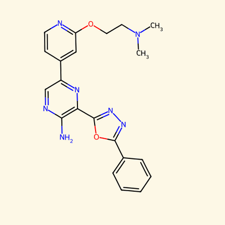 CN(C)CCOc1cc(-c2cnc(N)c(-c3nnc(-c4ccccc4)o3)n2)ccn1